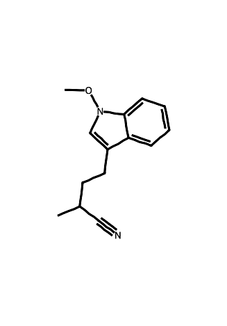 COn1cc(CCC(C)C#N)c2ccccc21